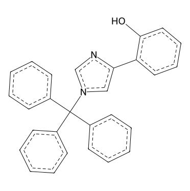 Oc1ccccc1-c1cn(C(c2ccccc2)(c2ccccc2)c2ccccc2)cn1